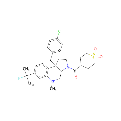 CN1CC2N(C(=O)C3CCS(=O)(=O)CC3)CCC2(Cc2ccc(Cl)cc2)c2ccc(C(C)(F)C(F)(F)F)cc21